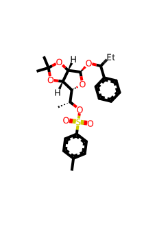 CCC(O[C@H]1O[C@H]([C@@H](C)OS(=O)(=O)c2ccc(C)cc2)[C@@H]2OC(C)(C)O[C@H]12)c1ccccc1